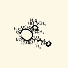 CC[C@H]1OC(=O)[C@H](C)C(=O)[C@H](C)[C@@H](OC2OC(C)CC(N(C)C)C2O)[C@](C)(OC)C[C@@H](C)/C(=N\N=C(/C)CC(=O)Nc2ccccn2)[C@H](C)[C@@H](O)[C@]1(C)O